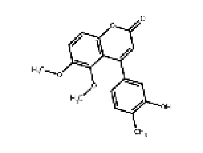 COc1ccc2oc(=O)cc(-c3ccc(C)c(O)c3)c2c1OC